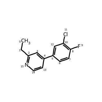 CCc1cc(-c2ccc(F)c(Cl)c2)ccn1